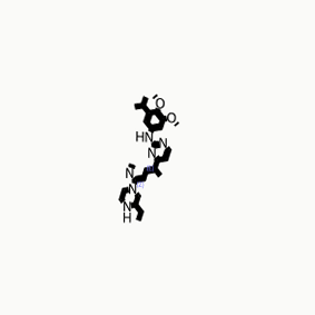 C=N/C(=C\C=C(/C)c1ccnc(Nc2cc(OC)c(OC)c(C(C)C)c2)n1)N1CCNC(CC)C1